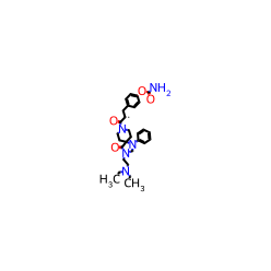 CCN(CC)CCN1CN(c2ccccc2)C2(CCN(C(=O)[CH]Cc3ccc(OC(N)=O)cc3)CC2)C1=O